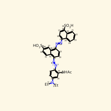 CCN(CC)c1ccc(/N=N/c2ccc(/N=N/c3ccc(S(=O)(=O)O)c4ccccc34)c3cc(S(=O)(=O)O)ccc23)c(NC(C)=O)c1